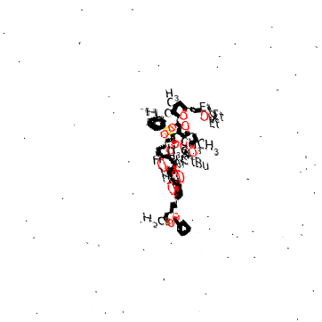 C=C(Br)C[C@@H](CC[C@@]12CC3OC4[C@@H](O1)C1O[C@@H](CC(O)C([C@H]5C(C[C@H]6O[C@@H](CCCO[Si](CC)(CC)CC)C[C@@H](C)C6=C)O[C@H](C[C@H](C)CO[Si](C)(C)C(C)(C)C)[C@@H]5C)S(=O)(=O)c5ccccc5)CC[C@@H]1O[C@H]4[C@H]3O2)OC(=O)c1ccccc1